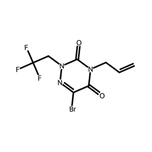 C=CCn1c(=O)c(Br)nn(CC(F)(F)F)c1=O